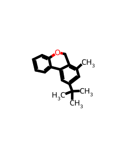 Cc1cc(C(C)(C)C)cc2c1COc1ccccc1-2